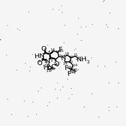 COC1=c2c(c(=O)[nH]c(=O)n2C2CC2)=CC(F)C1N1CC(CN)C(CC(F)(F)F)C1